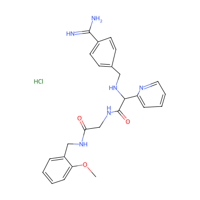 COc1ccccc1CNC(=O)CNC(=O)C(NCc1ccc(C(=N)N)cc1)c1ccccn1.Cl